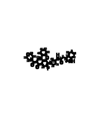 O=C(Cc1c[nH]c2ccccc12)NC1CCN(c2c(F)cc3c(=O)c(C(=O)N4CCOCC4)cn4c3c2Oc2ccccc2-4)C1